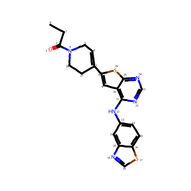 CCC(=O)N1CC=C(c2cc3c(Nc4ccc5scnc5c4)ncnc3s2)CC1